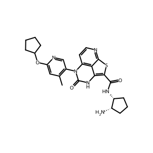 Cc1cc(OC2CCCC2)ncc1N1C(=O)Nc2c(C(=O)N[C@@H]3CCC[C@@H]3N)sc3nccc1c23